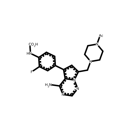 CC(=O)N1CCN(Cc2cc(-c3ccc(NC(=O)O)c(F)c3)c3c(N)ncnn23)CC1